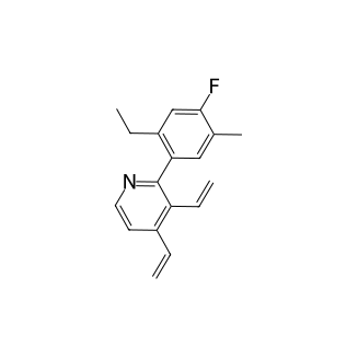 C=Cc1ccnc(-c2cc(C)c(F)cc2CC)c1C=C